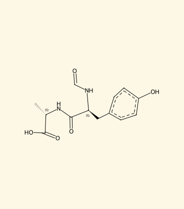 C[C@H](NC(=O)[C@H](Cc1ccc(O)cc1)NC=O)C(=O)O